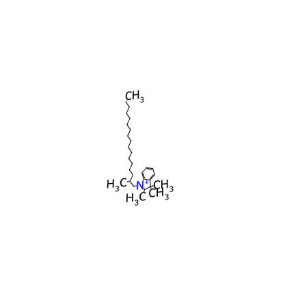 CCCCCCCCCCCCCCCC(C)C[N+]1=C(C)C(C)(C)c2ccccc21